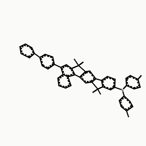 Cc1ccc(N(c2ccc(C)cc2)c2ccc3c(c2)C(C)(C)c2cc4c(cc2-3)C(C)(C)c2cc(-c3ccc(-c5ccccc5)cc3)c3ccccc3c2-4)cc1